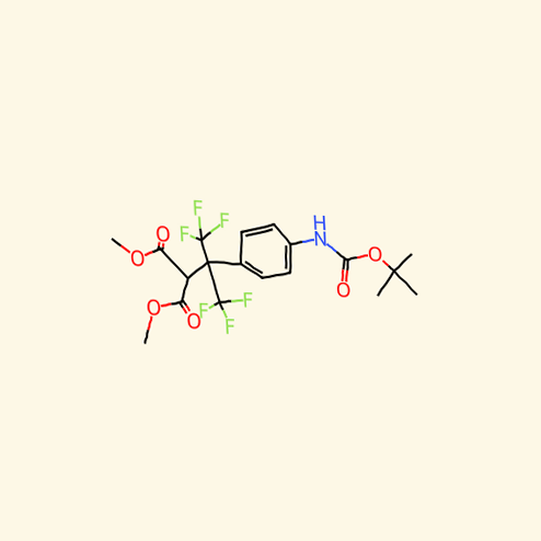 COC(=O)C(C(=O)OC)C(c1ccc(NC(=O)OC(C)(C)C)cc1)(C(F)(F)F)C(F)(F)F